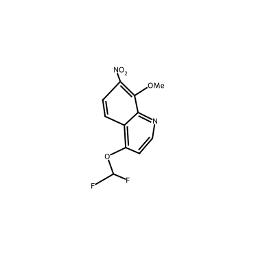 COc1c([N+](=O)[O-])ccc2c(OC(F)F)ccnc12